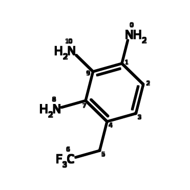 Nc1ccc(CC(F)(F)F)c(N)c1N